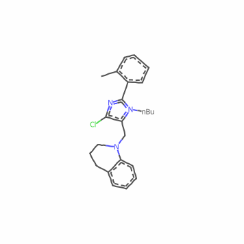 CCCCn1c(-c2ccccc2C)nc(Cl)c1CN1CCCc2ccccc21